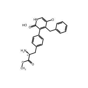 COC(=O)[C@@H](N)Cc1ccc(-c2c(Cc3ccccc3)c(Cl)c[nH]c2=O)cc1.Cl